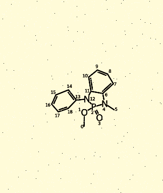 COP1(=O)N(C)c2ccccc2N1c1ccccc1